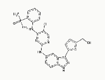 CP(C)(=O)c1ccccc1Nc1nc(Nc2ccc3[nH]nc(-c4ccc(CO)o4)c3c2)ncc1Cl